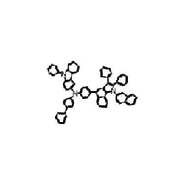 C1=CC2c3cc(N(c4ccc(-c5ccccc5)cc4)c4ccc(-c5cc6c(-c7ccccc7)c(-c7ccccc7)n(-c7ccc8ccccc8c7)c6c6ccccc56)cc4)ccc3N(c3ccccc3)C2C=C1